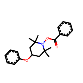 CC1(C)CC(Oc2ccccc2)CC(C)(C)N1OC(=O)c1ccccc1